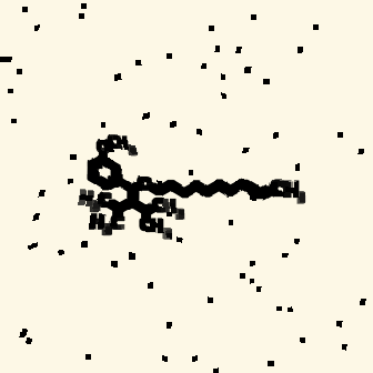 CCCCCCCCCCOC(=C(C(C)C)C(C)C)c1cccc(OC)c1